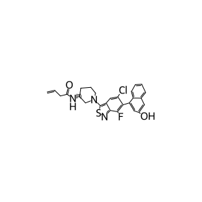 C=CCC(=O)N[C@@H]1CCCN(c2snc3c(F)c(-c4cc(O)cc5ccccc45)c(Cl)cc23)C1